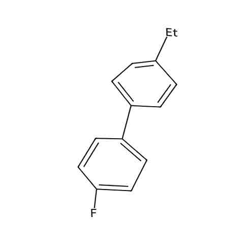 CCc1ccc(-c2ccc(F)cc2)cc1